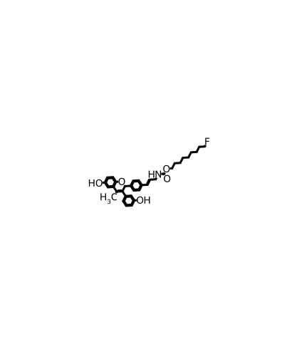 CC1=C(c2cccc(O)c2)C(c2ccc(/C=C/CNC(=O)OCCCCCCCCCF)cc2)Oc2ccc(O)cc21